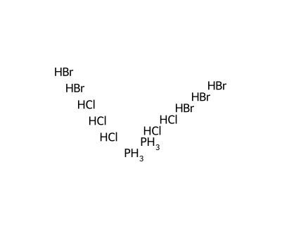 Br.Br.Br.Br.Br.Cl.Cl.Cl.Cl.Cl.P.P